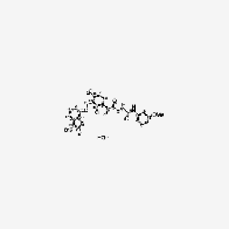 COc1cccc(NC(=O)NCC(=O)N(C)c2ccc(Cl)c(COc3cccn4c(Br)c(C)nc34)c2Cl)c1.Cl